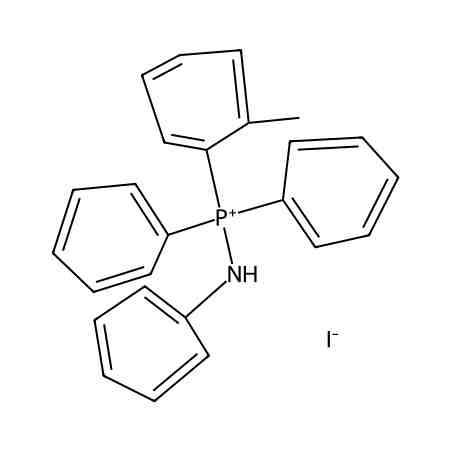 Cc1ccccc1[P+](Nc1ccccc1)(c1ccccc1)c1ccccc1.[I-]